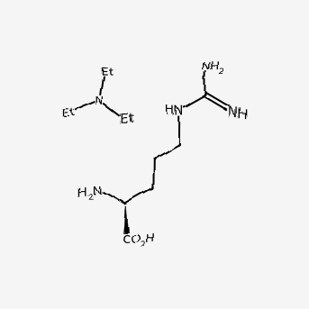 CCN(CC)CC.N=C(N)NCCC[C@H](N)C(=O)O